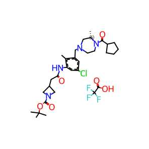 Cc1c(CN2CCN(C(=O)C3CCCC3)[C@@H](C)C2)cc(Cl)cc1NC(=O)CC1CN(C(=O)OC(C)(C)C)C1.O=C(O)C(F)(F)F